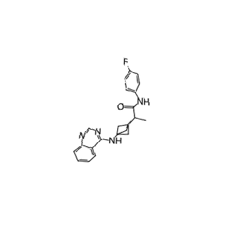 CC(C(=O)Nc1ccc(F)cc1)C12CC(Nc3ncnc4ccccc34)(C1)C2